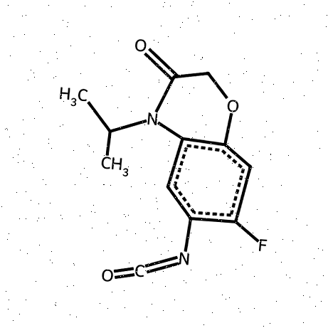 CC(C)N1C(=O)COc2cc(F)c(N=C=O)cc21